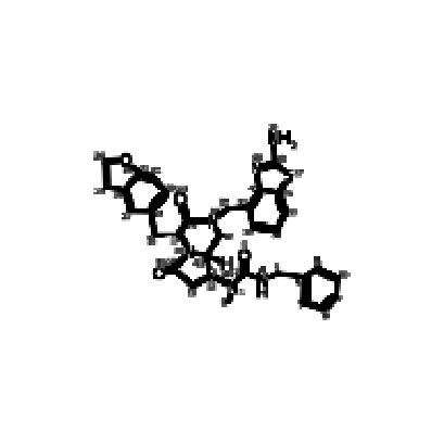 CN(C(=O)NCc1ccccc1)N1CC(=O)N2[C@@H](Cc3ccc4occc4c3)C(=O)N(Cc3cccc4sc(N)nc34)C[C@@H]21